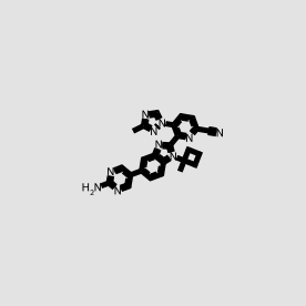 Cc1ncn(-c2ccc(C#N)nc2-c2nc3cc(-c4cnc(N)nc4)ccc3n2C2(C)CCC2)n1